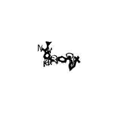 Cn1c(C2CC2)c(C#N)c2ccc(S(=O)(=O)NC3CCC(C(=O)N4CCCC4C(C)(C)C)CC3)cc21